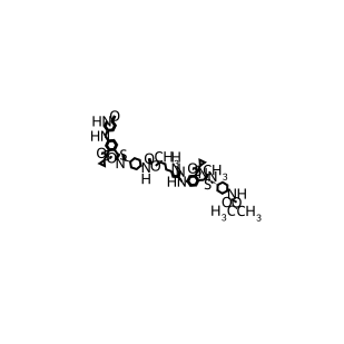 CN=S(=O)(c1cc(Nc2cc(CCC(C)OC(=O)N[C@H]3CC[C@H](c4ncc(-c5ccc(Nc6ccc(=O)[nH]c6)cc5S(=O)(=O)C5CC5)s4)CC3)[nH]n2)ccc1-c1cnc([C@H]2CC[C@H](NC(=O)OC(C)C)CC2)s1)C1CC1